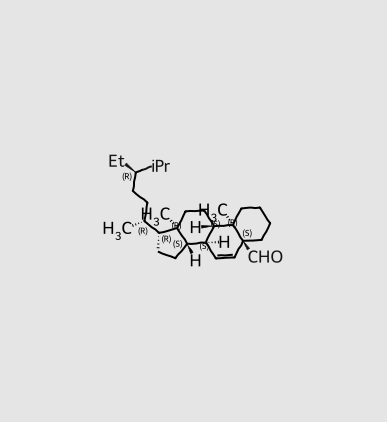 CC[C@H](CC[C@@H](C)[C@H]1CC[C@H]2[C@@H]3C=C[C@@]4(C=O)CCCC[C@]4(C)[C@H]3CC[C@]12C)C(C)C